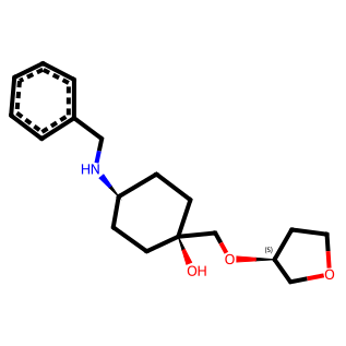 O[C@]1(CO[C@H]2CCOC2)CC[C@H](NCc2ccccc2)CC1